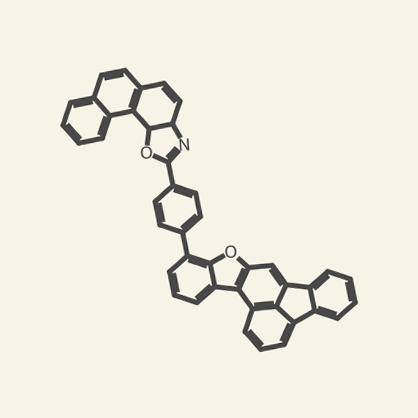 C1=CC2N=C(c3ccc(-c4cccc5c4oc4cc6c7c(cccc7c45)-c4ccccc4-6)cc3)OC2c2c1ccc1ccccc21